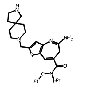 CCCN(OCC)C(=O)C1=Cc2sc(CN3CCC4(CCNC4)CC3)cc2N=C(N)C1